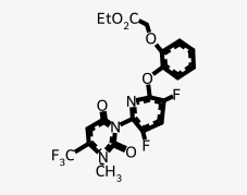 CCOC(=O)COc1ccccc1Oc1nc(-n2c(=O)cc(C(F)(F)F)n(C)c2=O)c(F)cc1F